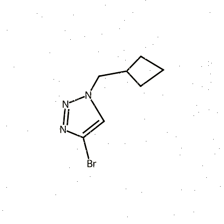 Brc1cn(CC2CCC2)nn1